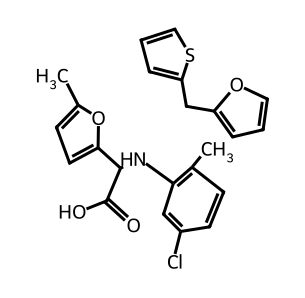 Cc1ccc(C(Nc2cc(Cl)ccc2C)C(=O)O)o1.c1coc(Cc2cccs2)c1